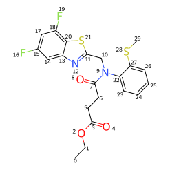 CCOC(=O)CCC(=O)N(Cc1nc2cc(F)cc(F)c2s1)c1ccccc1SC